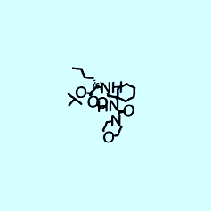 CCCC[C@H](NC(=O)C1(NC(=O)N2CCOCC2)CCCCC1)C(=O)OC(C)(C)C